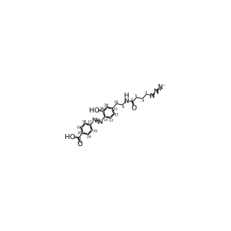 [N-]=[N+]=NCCCC(=O)NCCc1ccc(/N=N/c2ccc(C(=O)O)cc2)c(O)c1